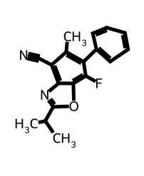 Cc1c(-c2ccccc2)c(F)c2oc(C(C)C)nc2c1C#N